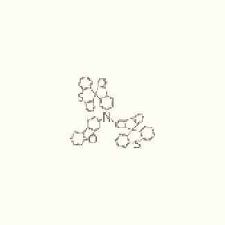 c1ccc2c(c1)Sc1ccccc1C21c2ccccc2-c2cc(N(c3ccc4c(c3)C3(c5ccccc5Sc5ccccc53)c3ccccc3-4)c3ccc4c(c3)oc3ccccc34)ccc21